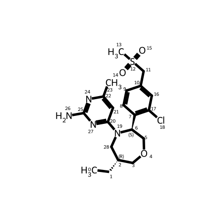 CC[C@H]1COC[C@H](c2ccc(CS(C)(=O)=O)cc2Cl)N(c2cc(C)nc(N)n2)C1